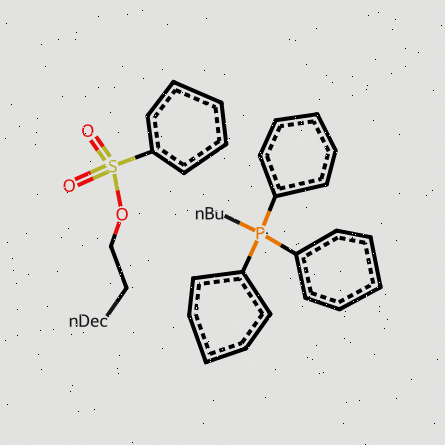 CCCCCCCCCCCCOS(=O)(=O)c1ccccc1.CCCC[P](c1ccccc1)(c1ccccc1)c1ccccc1